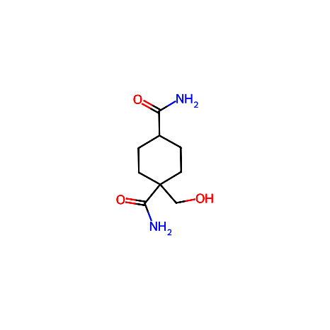 NC(=O)C1CCC(CO)(C(N)=O)CC1